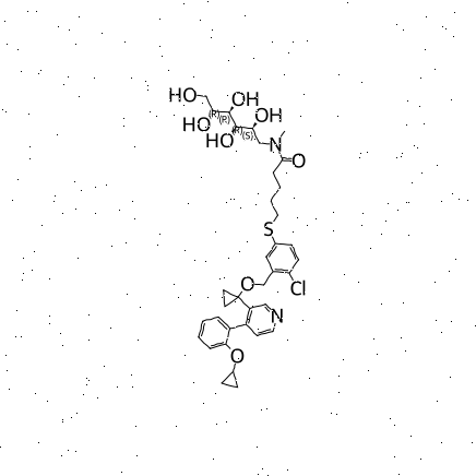 CN(C[C@H](O)[C@@H](O)[C@H](O)[C@H](O)CO)C(=O)CCCCSc1ccc(Cl)c(COC2(c3cnccc3-c3ccccc3OC3CC3)CC2)c1